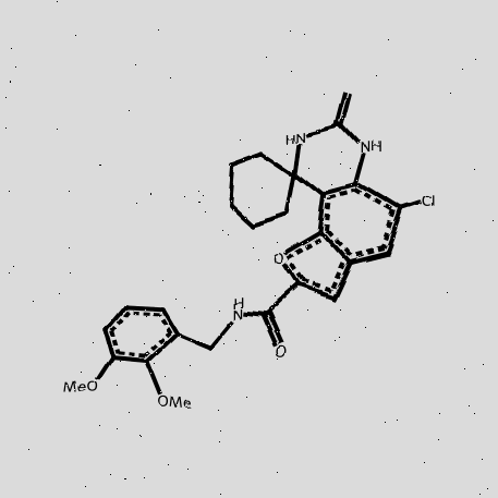 C=C1Nc2c(Cl)cc3cc(C(=O)NCc4cccc(OC)c4OC)oc3c2C2(CCCCC2)N1